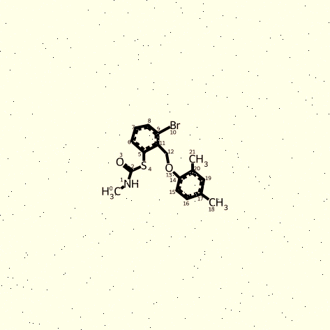 CNC(=O)Sc1cccc(Br)c1COc1ccc(C)cc1C